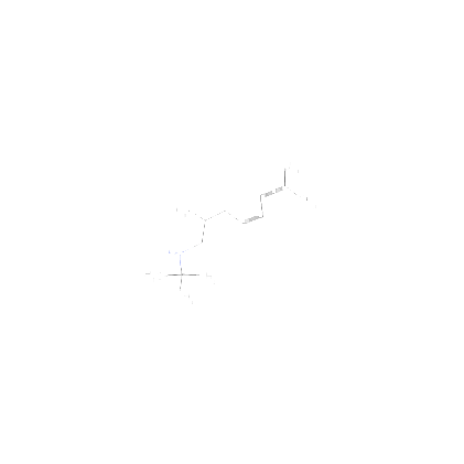 CC(C)=C/C=C\CC(C)CNC(C)(C)C